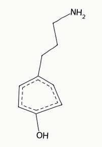 NCCCc1ccc(O)cc1